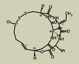 C/C=C1\NC(=O)[C@H]2CSS[S+]([O-])CC/C=C/[C@H](CC(=O)N[C@H](C(C)C)C(=O)N2)OC(=O)C(C(C)C)NC1=O